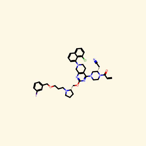 C=CC(=O)N1CCN(c2nc(OC[C@@H]3CCCN3CCCOCc3cccc(I)c3)nc3c2CCN(c2cccc4cccc(Cl)c24)C3)C[C@@H]1CC#N